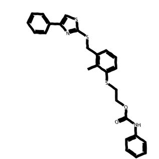 Cc1c(CSc2nc(-c3ccccc3)cs2)cccc1SCCOC(=O)Nc1ccccc1